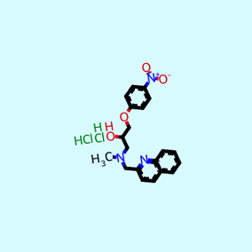 CN(Cc1ccc2ccccc2n1)CC(O)COc1ccc([N+](=O)[O-])cc1.Cl.Cl